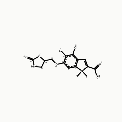 C[N+]1(C)C(C(=O)O)=Cc2c1cc(OCC1CNC(=O)O1)c(Cl)c2Cl